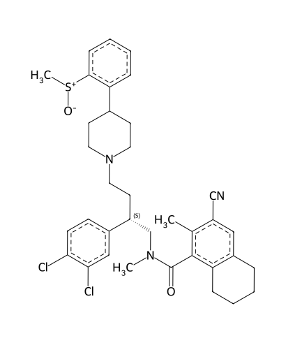 Cc1c(C#N)cc2c(c1C(=O)N(C)C[C@@H](CCN1CCC(c3ccccc3[S+](C)[O-])CC1)c1ccc(Cl)c(Cl)c1)CCCC2